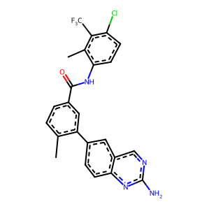 Cc1ccc(C(=O)Nc2ccc(Cl)c(C(F)(F)F)c2C)cc1-c1ccc2nc(N)ncc2c1